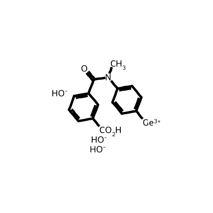 CN(C(=O)c1cccc(C(=O)O)c1)c1cc[c]([Ge+3])cc1.[OH-].[OH-].[OH-]